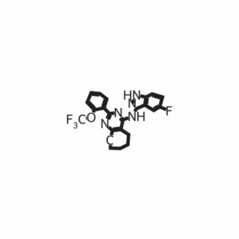 Fc1ccc2[nH]nc(Nc3nc(-c4ccccc4OC(F)(F)F)nc4c3CCCCC4)c2c1